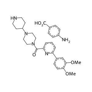 COc1ccc(-c2cccc(C(=O)N3CCN(C4CCNCC4)CC3)n2)cc1OC.Nc1ccc(C(=O)O)cc1